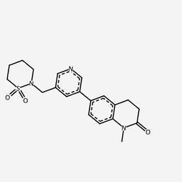 CN1C(=O)CCc2cc(-c3cncc(CN4CCCCS4(=O)=O)c3)ccc21